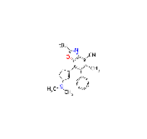 Cc1c(-c2ccccc2)c(C2=CC(N(C)C)CC2)c2oc(C(C)(C)C)nc2c1C#N